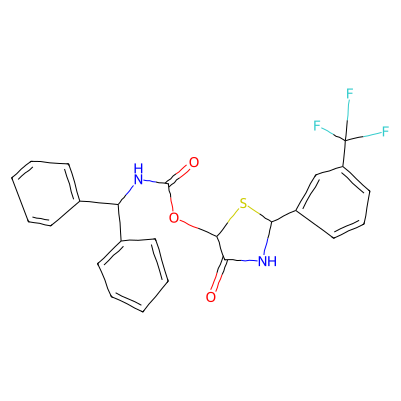 O=C(NC(c1ccccc1)c1ccccc1)OC1SC(c2cccc(C(F)(F)F)c2)NC1=O